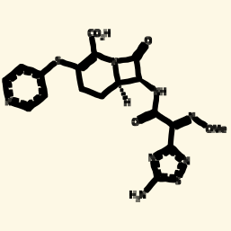 CON=C(C(=O)N[C@@H]1C(=O)N2C(C(=O)O)=C(Sc3ccncc3)CC[C@H]12)c1nsc(N)n1